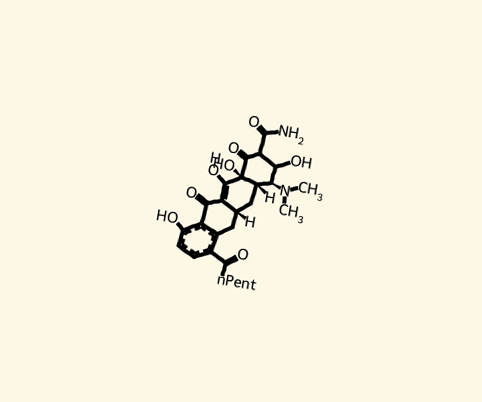 CCCCCC(=O)c1ccc(O)c2c1C[C@H]1C[C@H]3[C@H](N(C)C)C(O)C(C(N)=O)C(=O)[C@@]3(O)C(O)=C1C2=O